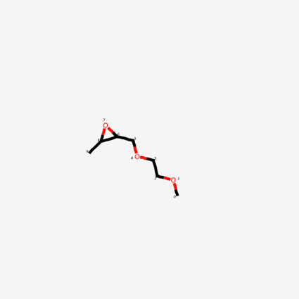 COCCOCC1OC1C